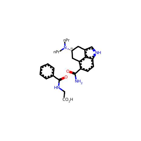 CCCN(CCC)[C@@H]1Cc2c[nH]c3ccc(C(N)=O)c(c23)C1.O=C(O)CNC(=O)c1ccccc1